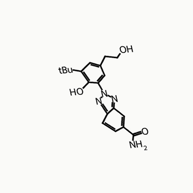 CC(C)(C)c1cc(CCO)cc(-n2nc3ccc(C(N)=O)cc3n2)c1O